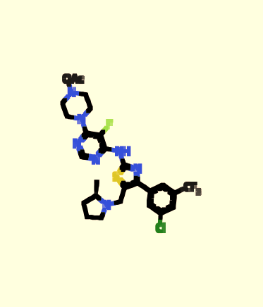 CC(=O)ON1CCN(c2ncnc(Nc3nc(-c4cc(Cl)cc(C(F)(F)F)c4)c(CN4CCC[C@H]4C)s3)c2F)CC1